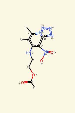 CC(=O)OCCNc1c(C)c(C)n2nnnc2c1[N+](=O)[O-]